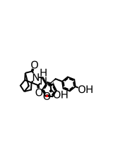 O=C(O)[C@H](Cc1ccc(O)cc1)NC(=O)C12CC3CC(C(=O)N1Cc1ccccc1)C2C3